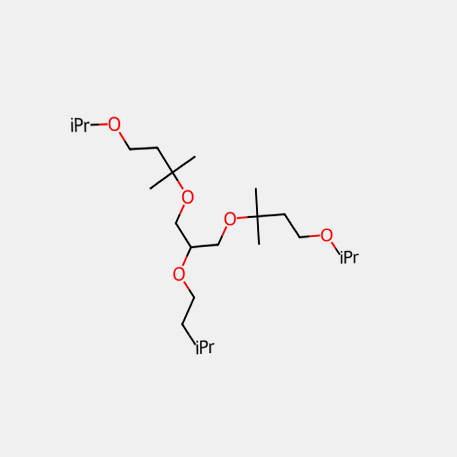 CC(C)CCOC(COC(C)(C)CCOC(C)C)COC(C)(C)CCOC(C)C